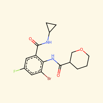 O=C(NC1CC1)c1cc(F)cc(Br)c1NC(=O)C1CCCOC1